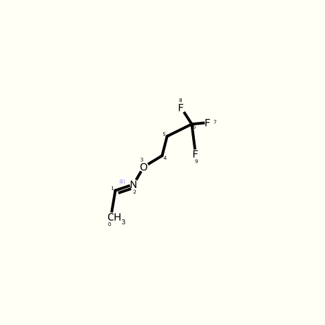 C/C=N/OCCC(F)(F)F